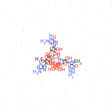 CCC(=O)NC[C@H]1[C@@H](O)[C@H](n2c[n+](C)c3c(=O)[nH]c(N)nc32)O[C@@H]1COP(=O)(O)OP(=O)(O)OP(=O)(O)OC[C@H]1O[C@@H](n2cnc3c(N)ncnc32)[C@H](OC)[C@@H]1OP(=O)([O-])OC[C@H]1O[C@@H](n2cnc3c(=O)[nH]c(N)nc32)[C@H](O)[C@@H]1O